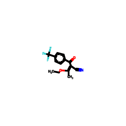 CCOC(C)=C(C#N)C(=O)c1ccc(C(F)(F)F)cc1